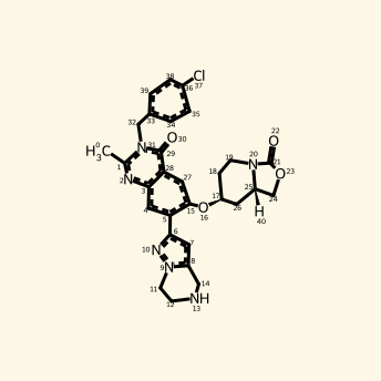 Cc1nc2cc(-c3cc4n(n3)CCNC4)c(O[C@H]3CCN4C(=O)OC[C@@H]4C3)cc2c(=O)n1Cc1ccc(Cl)cc1